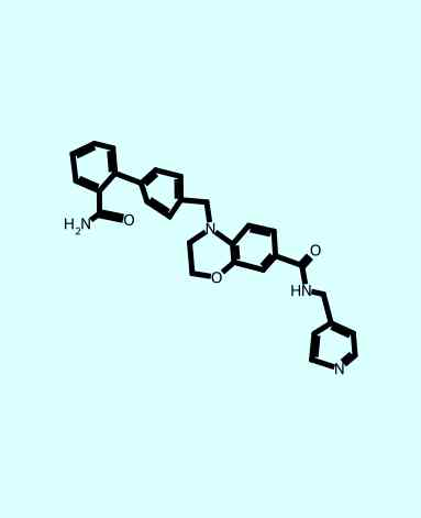 NC(=O)c1ccccc1-c1ccc(CN2CCOc3cc(C(=O)NCc4ccncc4)ccc32)cc1